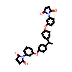 CC(c1ccc(Oc2cccc(N3C(=O)C=CC3=O)c2)cc1)c1ccc(Oc2cccc(N3C(=O)C=CC3=O)c2)cc1